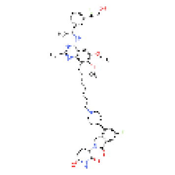 COc1cc2c(NC(C)c3cccc(C(F)(F)CO)c3)nc(C)nc2c(CCCCCCCN2CCC(c3cc(F)cc4c3CN(C3CCC(=O)NC3=O)C4=O)CC2)c1OC